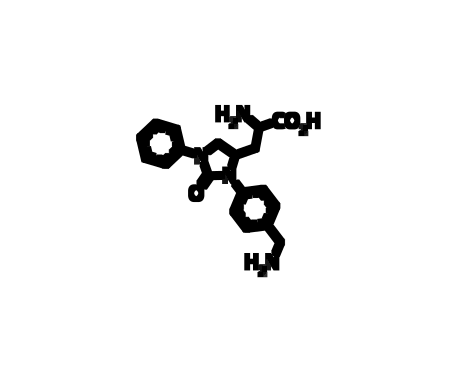 NCc1ccc(N2C(=O)N(c3ccccc3)CC2CC(N)C(=O)O)cc1